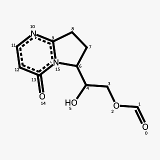 O=COCC(O)C1CCc2nccc(=O)n21